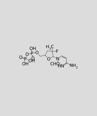 CC1(F)CC(COP(=O)(O)OP(=O)(O)O)OC1N(C=O)/C=C\C(=N)N